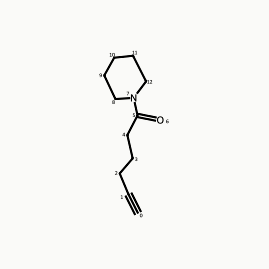 C#CCCCC(=O)N1CCCCC1